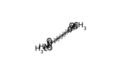 CNC(=O)N(C=O)CCCCC=CCCCCCCCOCC(=O)OC